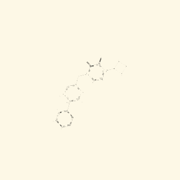 O=c1c(=O)n(C2CCC2)ccn1Cc1cnc(-c2ccccc2)cn1